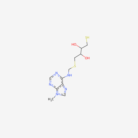 Cn1cnc2c(NCSCC(O)C(O)CS)ncnc21